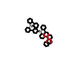 c1ccc(-c2ccc(-c3ccccc3N(c3ccc(-c4ccccc4-n4c5ccccc5c5ccccc54)cc3)c3cccc(-c4cccc5oc6ccccc6c45)c3)cc2)cc1